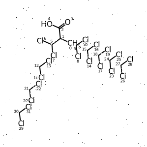 CC(C(=O)O)C(Cl)Cl.ClCCl.ClCCl.ClCCl.ClCCl.ClCCl.ClCCl.ClCCl.ClCCl